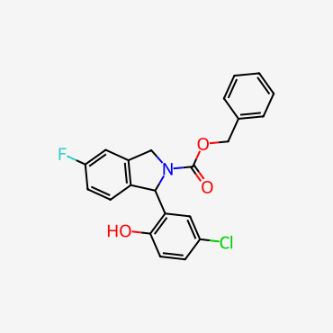 O=C(OCc1ccccc1)N1Cc2cc(F)ccc2C1c1cc(Cl)ccc1O